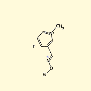 CCO/N=C/c1ccc[n+](C)c1.[I-]